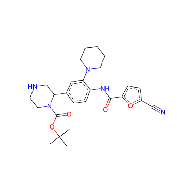 CC(C)(C)OC(=O)N1CCNCC1c1ccc(NC(=O)c2ccc(C#N)o2)c(N2CCCCC2)c1